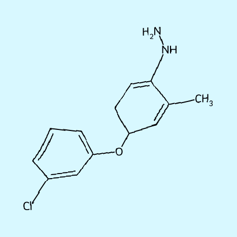 CC1=CC(Oc2cccc(Cl)c2)CC=C1NN